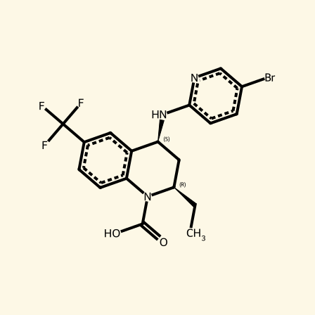 CC[C@@H]1C[C@H](Nc2ccc(Br)cn2)c2cc(C(F)(F)F)ccc2N1C(=O)O